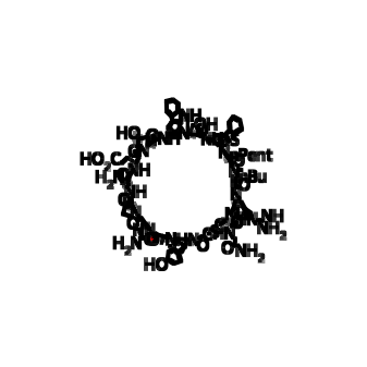 CCCCC[C@H]1C(=O)N(C)[C@@H](CCCC)C(=O)N[C@@H](CCCNC(=N)N)C(=O)N[C@H](C(=O)NCC(N)=O)CSCC(=O)N[C@@H](Cc2ccc(O)cc2)C(=O)N(C)[C@@H](C)C(=O)N[C@@H](CC(N)=O)C(=O)N2CCC[C@H]2C(=O)N[C@@H](CN)C(=O)N[C@@H](CCC(=O)O)C(=O)N2C[C@H](O)C[C@H]2C(=O)N[C@@H](Cc2c[nH]c3ccccc23)C(=O)N[C@@H](CO)C(=O)N[C@@H](Cc2csc3ccccc23)C(=O)N1C